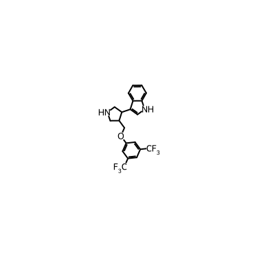 FC(F)(F)c1cc(OCC2CNCC2c2c[nH]c3ccccc23)cc(C(F)(F)F)c1